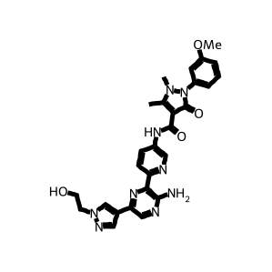 COc1cccc(-n2c(=O)c(C(=O)Nc3ccc(-c4nc(-c5cnn(CCO)c5)cnc4N)nc3)c(C)n2C)c1